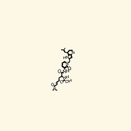 CC(C)=Cc1ccnc2cc(Cn3cccc(NC(=O)C(CC/C=C/C(=O)N(C)C)NC(=O)O)c3=O)[nH]c12